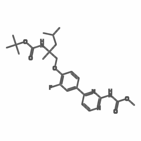 COC(=O)Nc1nccc(-c2ccc(OCC(C)(CC(C)C)NC(=O)OC(C)(C)C)c(F)c2)n1